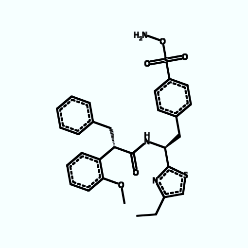 CCc1csc([C@H](Cc2ccc(S(=O)(=O)ON)cc2)NC(=O)[C@@H](Cc2ccccc2)c2ccccc2OC)n1